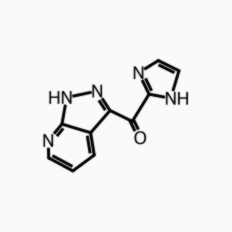 O=C(c1ncc[nH]1)c1n[nH]c2ncccc12